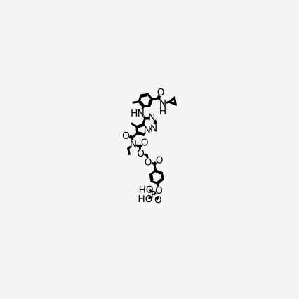 CCN(C(=O)OCOC(=O)c1ccc(OP(=O)(O)O)cc1)C(=O)c1cn2ncnc(Nc3cc(C(=O)NC4CC4)ccc3C)c2c1C